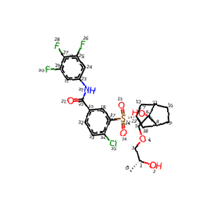 C[C@@H](O)COC[C@]1(O)C2CCC1C[C@@H](S(=O)(=O)c1cc(C(=O)Nc3cc(F)c(F)c(F)c3)ccc1Cl)C2